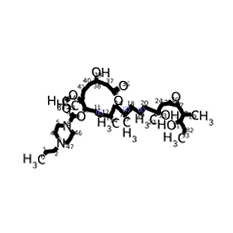 CCCN1CCN(C(=O)OC2/C=C/C(C)C(/C(C)=C/C=C/C(C)(O)CC3OC3C(C)C(O)CC)OC(=O)CC(O)CCC2(C)OC)CC1